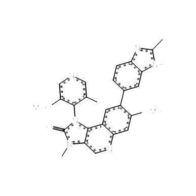 COc1cc2ncc3c(c2cc1-c1ccc2nc(C)[nH]c2c1)n(-c1c(F)cncc1OC)c(=O)n3C